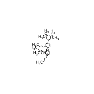 CCCCN1CCN(c2ccc(C3CC(C)(C)CC(C)(C)C3)cc2C2CC(C)(C)CC(C)(C)C2)CC1